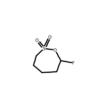 O=S1(=O)CCCCC(F)O1